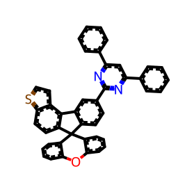 c1ccc(-c2cc(-c3ccccc3)nc(-c3ccc4c(c3)-c3c(ccc5sccc35)C43c4ccccc4Oc4ccccc43)n2)cc1